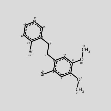 COc1cc(Br)c(CCc2cnccc2Br)cc1OC